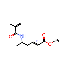 C=C(C)C(=O)NC(C)C/C=C/C(=O)OC(C)C